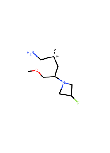 COCC(C[C@@H](C)CN)N1CC(F)C1